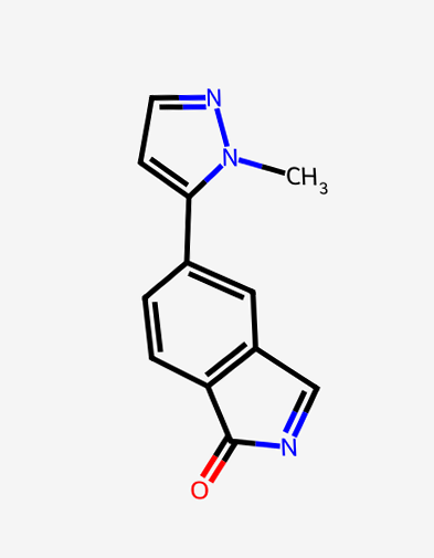 Cn1nccc1-c1ccc2c(c1)C=NC2=O